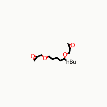 CCCCC(CCCCOCC1CO1)OCC1CO1